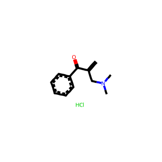 C=C(CN(C)C)C(=O)c1ccccc1.Cl